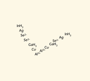 [Ag].[Ag].[Al+3].[Al+3].[Cu].[Cu].[GaH3].[GaH3].[InH3].[InH3].[Se-2].[Se-2].[Se-2]